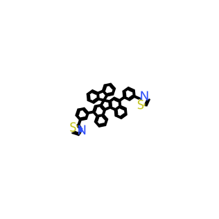 c1cc(-c2nccs2)cc(-c2cc3c(c4ccccc24)-c2c(cc(-c4cccc(-c5nccs5)c4)c4ccccc24)C32c3ccccc3-c3ccccc32)c1